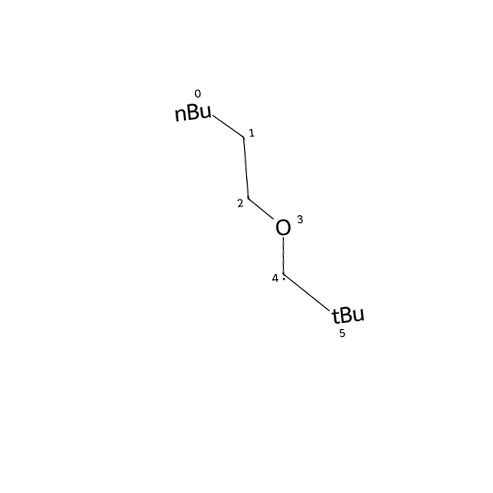 CCCCCCO[CH]C(C)(C)C